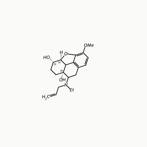 C=CCN(CC)C1Cc2ccc(OC)c3c2C2[C@H](O3)[C@@H](O)CC[C@@]21O